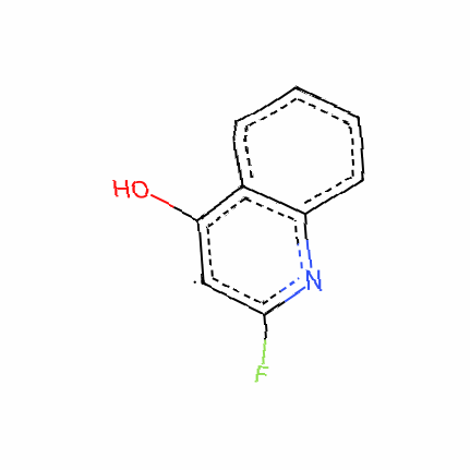 Oc1[c]c(F)nc2ccccc12